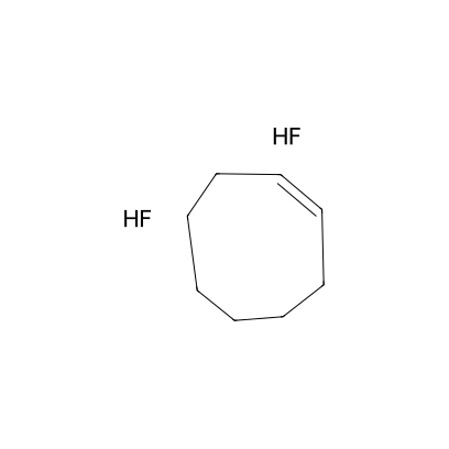 C1=CCCCCCC1.F.F